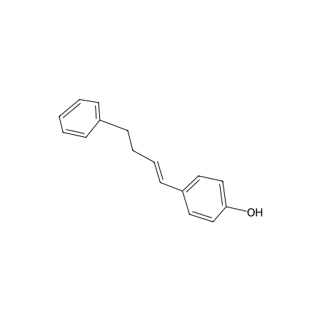 Oc1ccc(C=CCCc2ccccc2)cc1